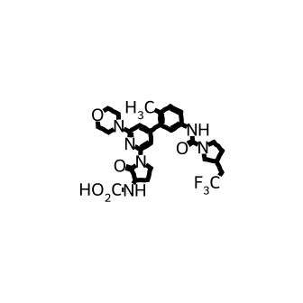 Cc1ccc(NC(=O)N2CCC(CC(F)(F)F)C2)cc1-c1cc(N2CCOCC2)nc(N2CCC(NC(=O)O)C2=O)c1